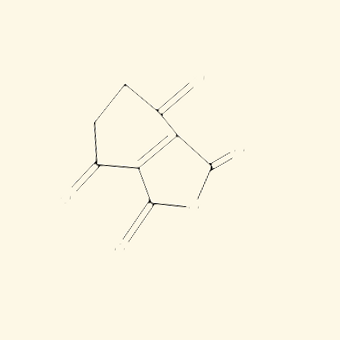 O=C1CCC(=O)C2=C1C(=O)OC2=O